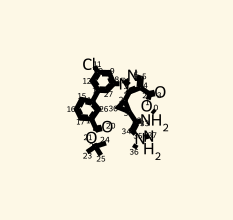 COC(=O)c1cnn(-c2cc(Cl)cc(-c3cccc(C(=O)OC(C)(C)C)c3)c2)c1C1CC1/C(N)=C/N(C)N